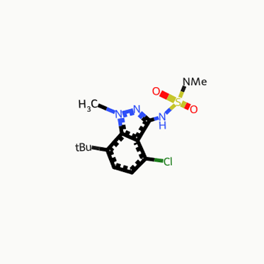 CNS(=O)(=O)Nc1nn(C)c2c(C(C)(C)C)ccc(Cl)c12